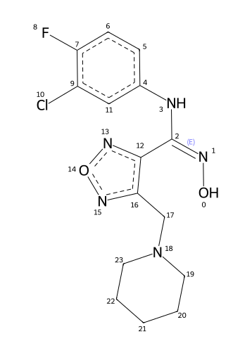 O/N=C(/Nc1ccc(F)c(Cl)c1)c1nonc1CN1CCCCC1